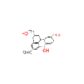 O=Cc1cc2c3c(c1)C(O)C1=CCC(CO)=CC1C3CC(/C=C\O)C2